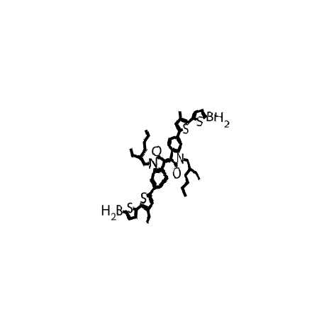 Bc1ccc(-c2sc(-c3ccc4c(c3)N(CC(CC)CCCC)C(=O)/C4=C3/C(=O)N(CC(CC)CCCC)c4cc(-c5cc(CC)c(-c6ccc(B)s6)s5)ccc43)cc2C)s1